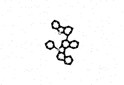 c1ccc(-n2c3ccc4ccccc4c3c3c4ccccc4c(-c4cccc5c4oc4ccccc45)cc32)cc1